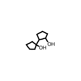 OC1CCCC1C1(O)CCCC1